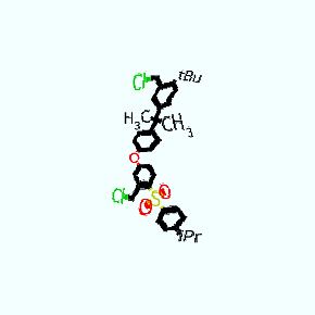 CC(C)c1ccc(S(=O)(=O)c2ccc(Oc3ccc(C(C)(C)c4ccc(C(C)(C)C)c(CCl)c4)cc3)cc2CCl)cc1